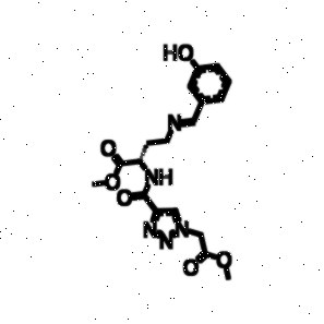 COC(=O)Cn1cc(C(=O)N[C@@H](CCN=Cc2cccc(O)c2)C(=O)OC)nn1